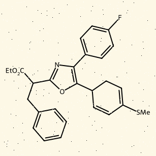 CCOC(=O)C(Cc1ccccc1)c1nc(-c2ccc(F)cc2)c(C2C=CC(SC)=CC2)o1